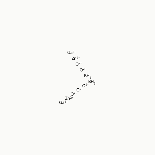 B.B.[Ga+3].[Ga+3].[O-2].[O-2].[O-2].[O-2].[O-2].[Zn+2].[Zn+2]